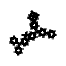 CC1(C)c2cc(N(c3ccccc3)c3ccccc3)ccc2-c2ccc(N(c3ccc(-c4ccccc4)cc3)c3ccc(C45CC6CC7CC(C4)C765)cc3)cc21